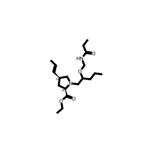 CC=C[C@@H]1C[C@H](C(=O)OCC)N(CC(CCC)OCNC(=O)CC)C1